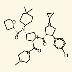 CN1CCN(C(=O)[C@H]2C[C@H](N(C(=O)[C@@H]3CCCO3)C3CCC(C)(C)CC3)CN2C(=O)[C@@H]2CN(C3CC3)C[C@H]2c2ccc(Cl)cc2)CC1